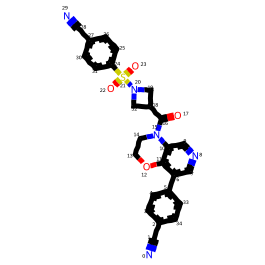 N#Cc1ccc(-c2cncc3c2OCCN3C(=O)C2CN(S(=O)(=O)c3ccc(C#N)cc3)C2)cc1